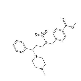 COC(=O)c1ccc(CN(CCC(c2ccccc2)N2CCN(C)CC2)[SH](=O)=O)cc1